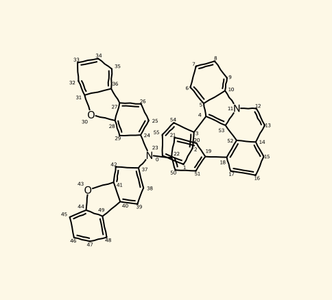 c1ccc(-c2c3ccccc3n3ccc4cccc(-c5ccc(N(c6ccc7c(c6)oc6ccccc67)c6ccc7c(c6)oc6ccccc67)cc5)c4c23)cc1